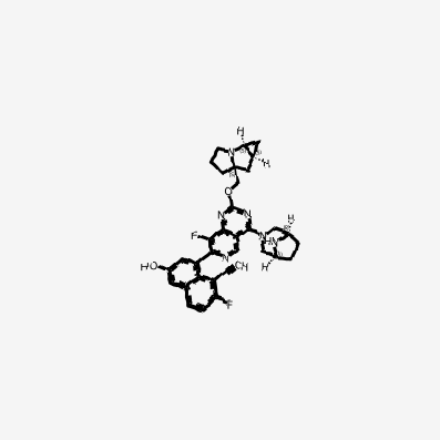 C#Cc1c(F)ccc2cc(O)cc(-c3ncc4c(N5C[C@H]6CC[C@@H](C5)N6)nc(OC[C@@]56CCCN5[C@H]5C[C@H]5C6)nc4c3F)c12